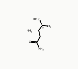 N.NC(=O)CC[C@H](N)C(=O)O